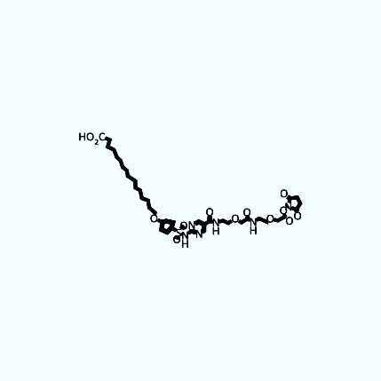 O=C(O)CCCCCCCCCCCCCCCOc1ccc(S(=O)(=O)Nc2ncc(C(=O)NCCOCC(=O)NCCOCC(=O)ON3C(=O)CCC3=O)cn2)cc1